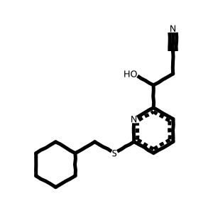 N#CCC(O)c1cccc(SCC2CCCCC2)n1